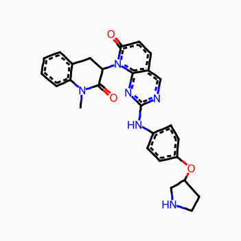 CN1C(=O)C(n2c(=O)ccc3cnc(Nc4ccc(OC5CCNC5)cc4)nc32)Cc2ccccc21